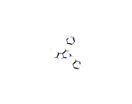 CCc1[nH]c2nc(Sc3cccnc3)nc(Oc3cccnc3)c2c1C(F)(F)F